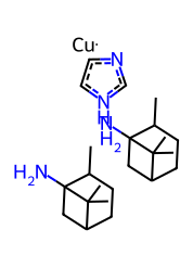 CC1CCC2CC1(N)C2(C)C.CC1CCC2CC1(N)C2(C)C.[Cu].c1c[nH]cn1